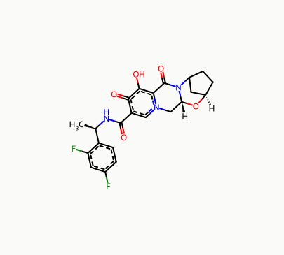 C[C@@H](NC(=O)c1cn2c(c(O)c1=O)C(=O)N1C3CC[C@H](C3)O[C@@H]1C2)c1ccc(F)cc1F